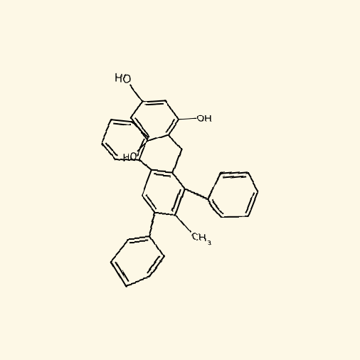 Cc1c(-c2ccccc2)cc(-c2ccccc2)c(Cc2c(O)cc(O)cc2O)c1-c1ccccc1